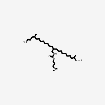 CCCC/C=C/CC(C)CCCCCCCCC(CCCCCCCCC(C)CCCCCCC)CNC(=O)OCCCN(C)C